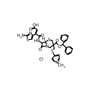 C[n+]1ccc(SCC2(C(=O)OC(c3ccccc3)c3ccccc3)CS[C@@H]3C(NC(=O)C(=CC(=O)O)c4csc(N)n4)C(=O)N3C2)cc1.[Cl-]